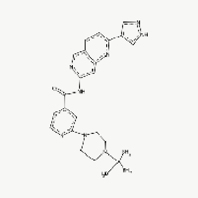 BC(B)(B)N1CCN(c2cc(C(=O)Nc3cc4nc(-c5cn[nH]c5)ccc4cn3)ccn2)CC1